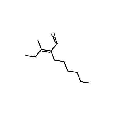 CCCCCCC(C=O)=C(C)CC